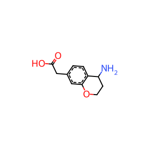 NC1CCOc2cc(CC(=O)O)ccc21